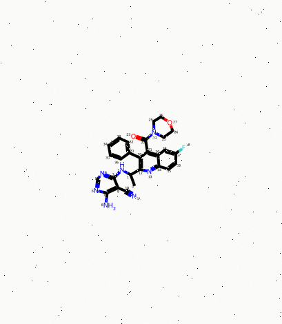 CC(Nc1ncnc(N)c1C#N)c1nc2ccc(F)cc2c(C(=O)N2CCOCC2)c1-c1ccccc1